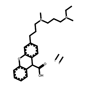 CCN(C)CCCN(C)CCCc1ccc2c(c1)Oc1ccccc1C2C(=O)O.CI.CI